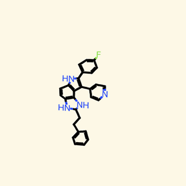 Fc1ccc(-c2[nH]c3ccc4c(c3c2-c2ccncc2)NC(CCc2ccccc2)N4)cc1